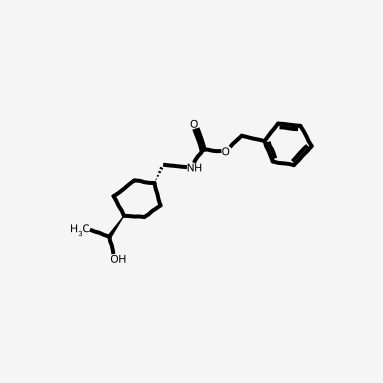 CC(O)[C@H]1CC[C@H](CNC(=O)OCc2ccccc2)CC1